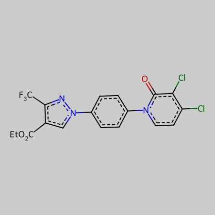 CCOC(=O)c1cn(-c2ccc(-n3ccc(Cl)c(Cl)c3=O)cc2)nc1C(F)(F)F